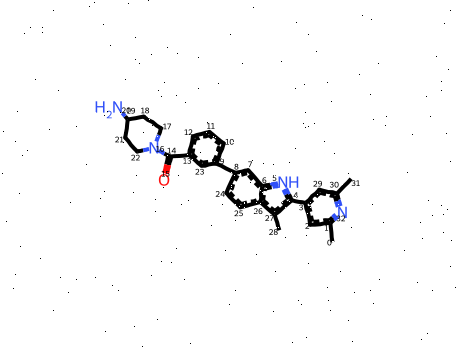 Cc1cc(-c2[nH]c3cc(-c4cccc(C(=O)N5CCC(N)CC5)c4)ccc3c2C)cc(C)n1